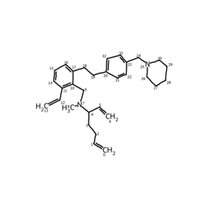 C=CCCC(C=C)N(C)Cc1c(C=C)cccc1CCc1ccc(CN2CCCCC2)cc1